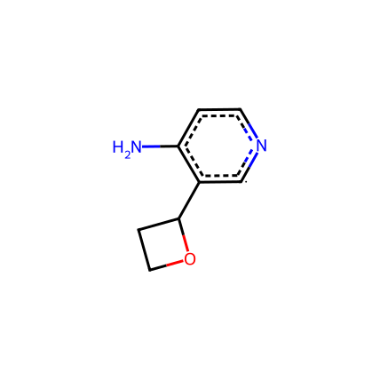 Nc1ccn[c]c1C1CCO1